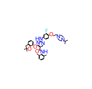 Cc1cccc(C)c1NC(=O)c1cnc(Nc2ccc(OCCN3CCN(C(C)C)CC3)c(F)c2)nc1Oc1cccc2c1OC(C)(C)C2